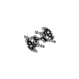 CCCCN1CCc2cc3c(cc2[C@@H]2[C@H](OC(=O)[C@@](O)(CCCC[C@@](O)(CC(=O)OC)C(=O)O[C@@H]4C(OC)=C[C@H]5[C@@H]4c4cc6c(cc4CCN5CCCC)OCO6)CC(=O)OC)C(OC)=C[C@@H]21)OCO3